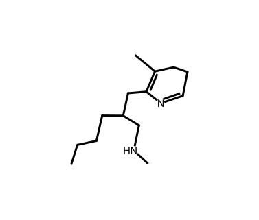 CCCCC(CNC)CC1=C(C)CCC=N1